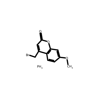 COc1ccc2c(CBr)cc(=O)oc2c1.P